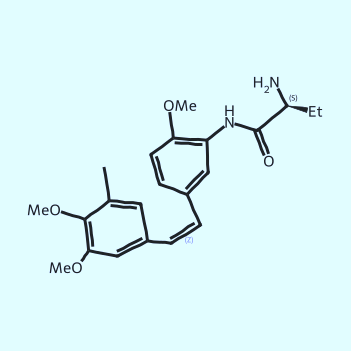 CC[C@H](N)C(=O)Nc1cc(/C=C\c2cc(C)c(OC)c(OC)c2)ccc1OC